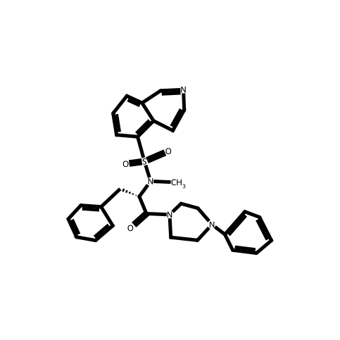 CN([C@@H](Cc1cc[c]cc1)C(=O)N1CCN(c2ccccc2)CC1)S(=O)(=O)c1cccc2cnccc12